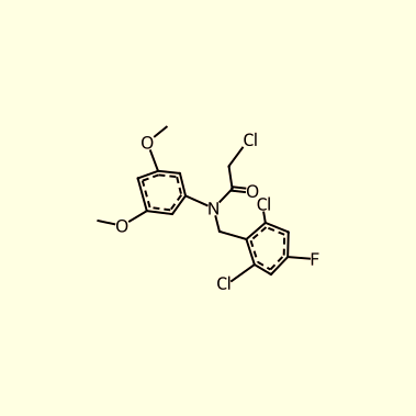 COc1cc(OC)cc(N(Cc2c(Cl)cc(F)cc2Cl)C(=O)CCl)c1